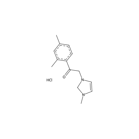 Cc1ccc(C(=O)CN2C=CN(C)C2)c(C)c1.Cl